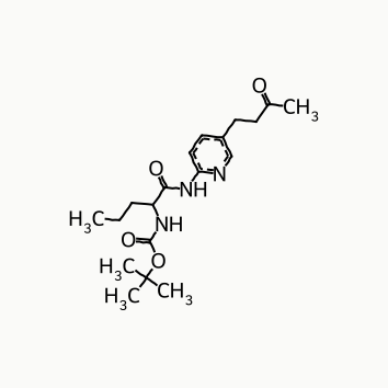 CCCC(NC(=O)OC(C)(C)C)C(=O)Nc1ccc(CCC(C)=O)cn1